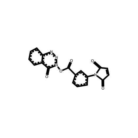 O=C(On1nnc2ccccc2c1=O)c1cccc(N2C(=O)C=CC2=O)c1